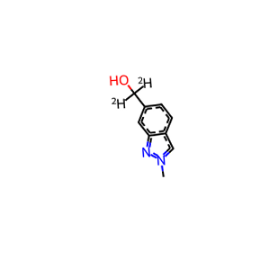 [2H]C([2H])(O)c1ccc2cn(C)nc2c1